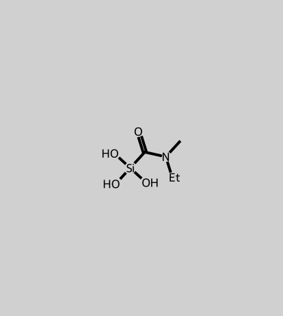 CCN(C)C(=O)[Si](O)(O)O